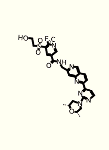 C[C@@H]1CN(c2nccc(-c3ccc4cnc(CNC(=O)c5cnc(C(F)(F)F)c(S(=O)(=O)CCO)c5)cc4n3)n2)C[C@H](C)O1